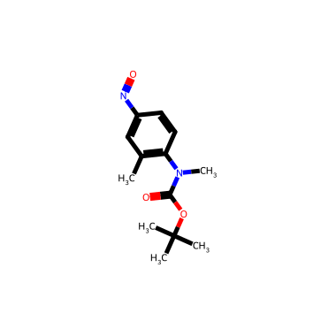 Cc1cc(N=O)ccc1N(C)C(=O)OC(C)(C)C